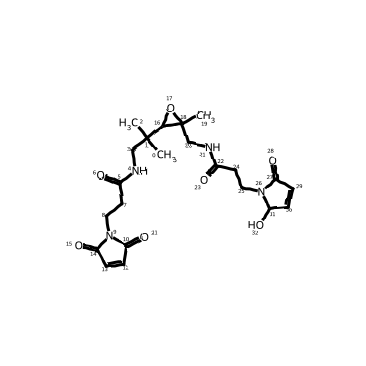 CC(C)(CNC(=O)CCN1C(=O)C=CC1=O)C1OC1(C)CNC(=O)CCN1C(=O)C=CC1O